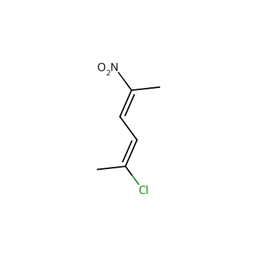 C/C(Cl)=C\C=C(/C)[N+](=O)[O-]